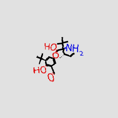 CC(C)(C)c1cccc(C=O)c1O.CC[C@H](C)C(N)(C(=O)O)C(C)(C)C